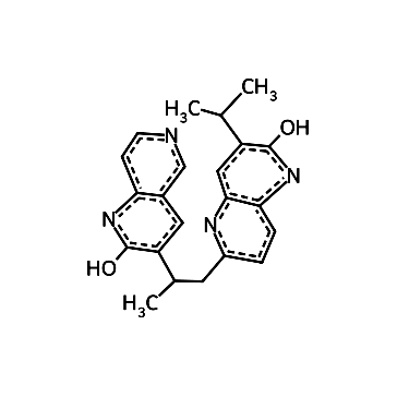 CC(C)c1cc2nc(CC(C)c3cc4cnccc4nc3O)ccc2nc1O